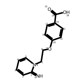 N=c1ccccn1CCOc1ccc(C(=O)O)cc1